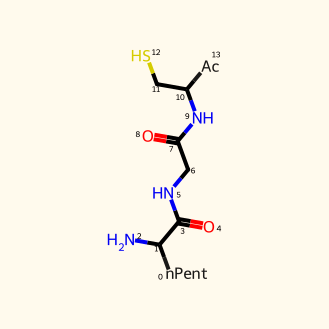 CCCCCC(N)C(=O)NCC(=O)NC(CS)C(C)=O